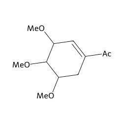 COC1C=C(C(C)=O)CC(OC)C1OC